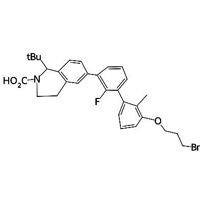 Cc1c(OCCCBr)cccc1-c1cccc(-c2ccc3c(c2)CCN(C(=O)O)C3C(C)(C)C)c1F